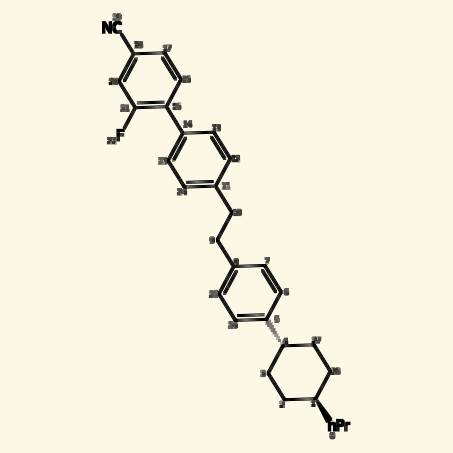 CCC[C@H]1CC[C@H](c2ccc(CCc3ccc(-c4ccc(C#N)cc4F)cc3)cc2)CC1